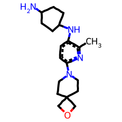 Cc1nc(N2CCC3(CC2)COC3)ccc1NC1CCC(N)CC1